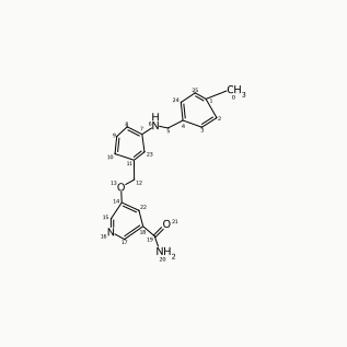 Cc1ccc(CNc2cccc(COc3cncc(C(N)=O)c3)c2)cc1